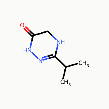 CC(C)C1=NNC(=O)CN1